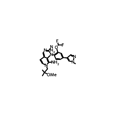 COC(C)(C)CN1C=CC2=CN=C(N)N(c3ccc(-c4cnn(C)c4)cc3OC(F)F)C2=C1N